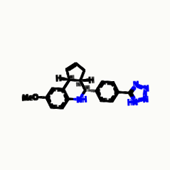 COc1ccc2c(c1)[C@@H]1C=CC[C@@H]1[C@H](c1ccc(-c3nnn[nH]3)cc1)N2